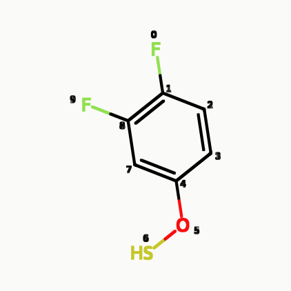 Fc1ccc(OS)cc1F